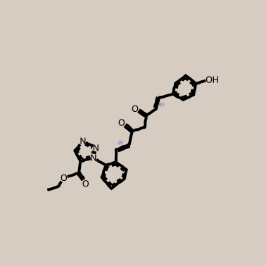 CCOC(=O)c1cnnn1-c1ccccc1/C=C/C(=O)CC(=O)/C=C/c1ccc(O)cc1